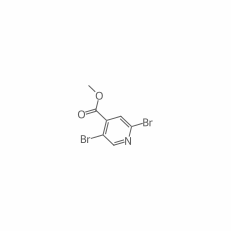 COC(=O)c1cc(Br)ncc1Br